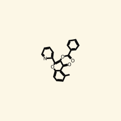 Cc1cccc2oc(-c3ccccn3)c(OC(=O)c3ccccc3)c(=O)c12